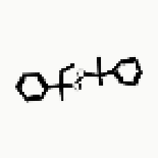 CCC(C)(OOC(C)(C)c1ccccc1)c1ccccc1